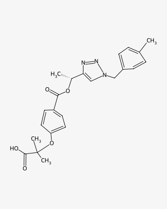 Cc1ccc(Cn2cc([C@@H](C)OC(=O)c3ccc(OC(C)(C)C(=O)O)cc3)nn2)cc1